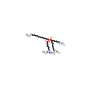 CCCCCCCCCCCCC(COC(=O)C(CCCCCC)CCCCCCCC)OC(=O)CCCCCCN(C)C